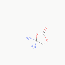 NC1(N)COC(=O)O1